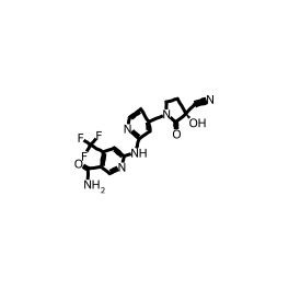 N#C[C@@]1(O)CCN(c2ccnc(Nc3cc(C(F)(F)F)c(C(N)=O)cn3)c2)C1=O